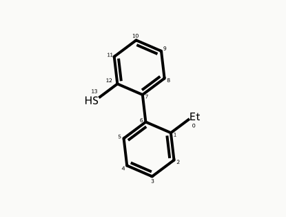 CCc1ccccc1-c1ccccc1S